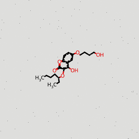 CCCCC(CC)Oc1c(O)c2cc(OCCCCO)ccc2oc1=O